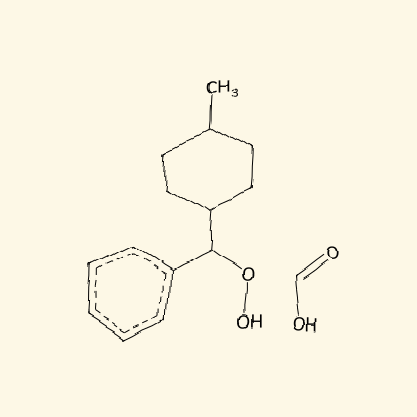 CC1CCC(C(OO)c2ccccc2)CC1.O=CO